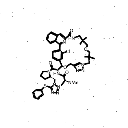 CN[C@@H](C)C(=O)N[C@H](C(=O)N1CCC[C@H]1Cn1nnnc1Sc1ccccc1)C(C)OCc1cn(CC(C)(C)COCC(C)(C)CNC(=O)c2cc3ccccc3c(-c3ccccc3Cl)n2)nn1